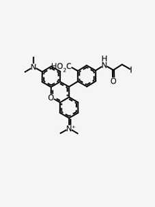 CN(C)c1ccc2c(-c3ccc(NC(=O)CI)cc3C(=O)O)c3ccc(=[N+](C)C)cc-3oc2c1